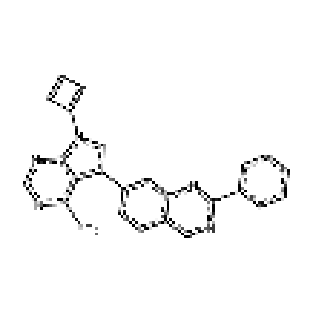 Nc1ncnc2c1c(-c1ccc3cnc(-c4ccccc4)nc3c1)cn2C1=CC=C1